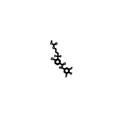 COC(=O)OCCCC(F)(F)c1cc(C(=O)Nc2cc(F)c(F)c(F)c2)ccc1Cl